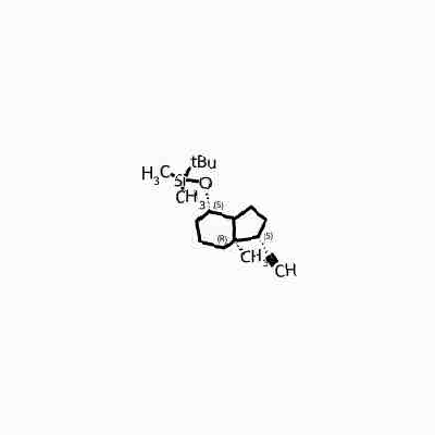 C#C[C@H]1CCC2[C@@H](O[Si](C)(C)C(C)(C)C)CCC[C@@]21C